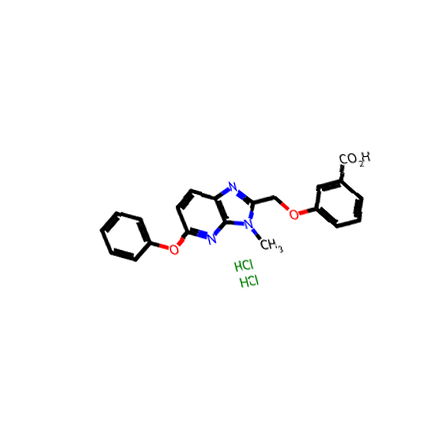 Cl.Cl.Cn1c(COc2cccc(C(=O)O)c2)nc2ccc(Oc3ccccc3)nc21